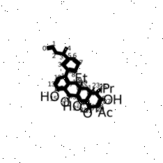 C=CCC(C)c1ccc(CC)c(-c2ccc(O)c3c2C[C@]2(C)C[C@]4(C)C(C(C)C)C(O)=C(C(C)=O)C(=O)[C@]4(O)C(O)=C2C3=O)c1